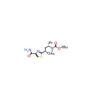 CC(=O)O[C@H](C[C@H](C(C)C)N(C)C(=O)OC(C)(C)C)c1nc(C(N)=O)cs1